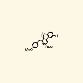 COc1ccc(Cn2nc(OC)cc(-c3cc(Cl)ccc3C(C)=O)c2=O)cc1